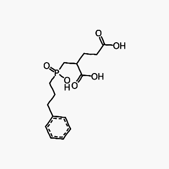 O=C(O)CCC(CP(=O)(O)CCCc1ccccc1)C(=O)O